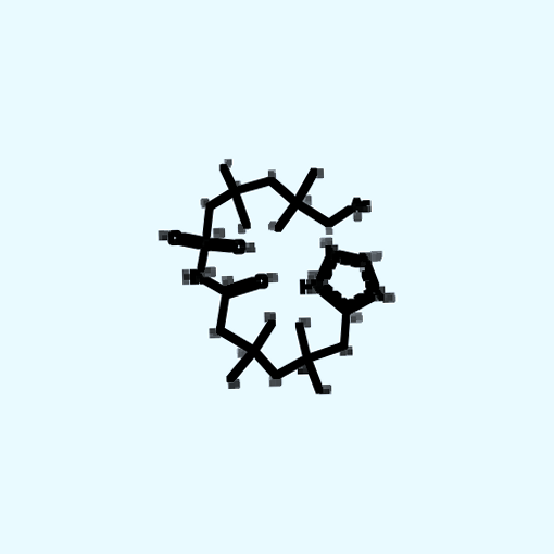 CC(=O)CC(C)(C)CC(C)(C)CS(=O)(=O)NC(=O)CC(C)(C)CC(C)(C)Cc1nnn[nH]1